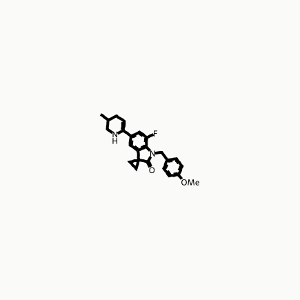 COc1ccc(CN2C(=O)C3(CC3)c3cc(C4=CCC(C)CN4)cc(F)c32)cc1